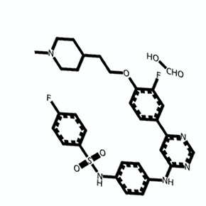 CN1CCC(CCOc2ccc(-c3cc(Nc4ccc(NS(=O)(=O)c5ccc(F)cc5)cc4)ncn3)cc2F)CC1.O=CO